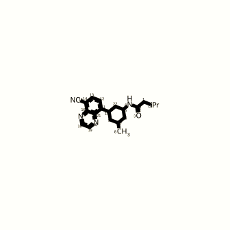 CC(C)CC(=O)NC1CC(C)CC(c2ccc(C#N)c3nccnc23)C1